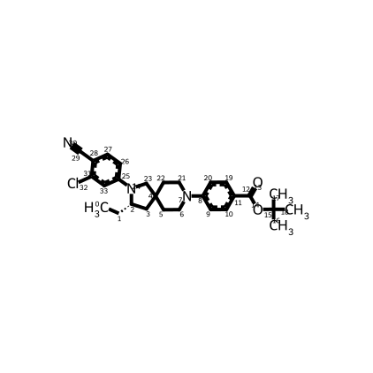 CC[C@H]1CC2(CCN(c3ccc(C(=O)OC(C)(C)C)cc3)CC2)CN1c1ccc(C#N)c(Cl)c1